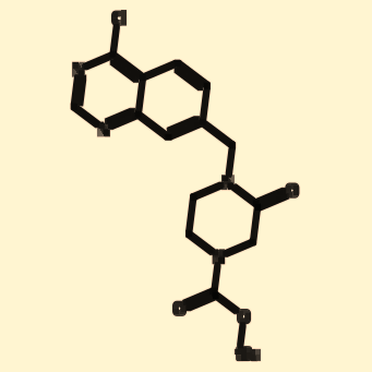 CC(C)(C)OC(=O)N1CCN(Cc2ccc3c(Cl)ncnc3c2)C(=O)C1